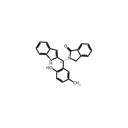 Cc1ccc(O)c([C@H](c2cc3ccccc3[nH]2)N2Cc3ccccc3C2=O)c1